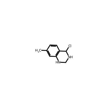 Cc1ccc2c(c1)NCNC2Cl